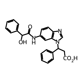 O=C(O)CC(c1ccccc1)n1cnc2ccc(NC(=O)C(O)c3ccccc3)cc21